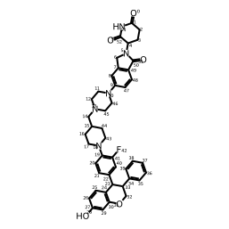 O=C1CCC(N2Cc3cc(N4CCN(CC5CCN(c6ccc(C7c8ccc(O)cc8OCC7c7ccccc7)cc6F)CC5)CC4)ccc3C2=O)C(=O)N1